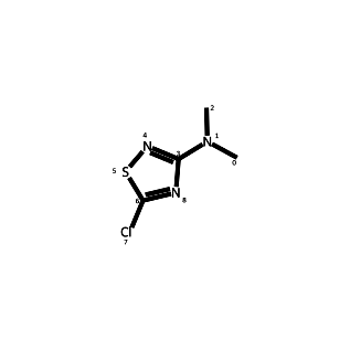 CN(C)c1nsc(Cl)n1